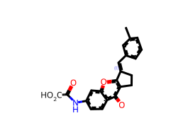 Cc1cccc(/C=C2\CCc3c2oc2cc(NC(=O)C(=O)O)ccc2c3=O)c1